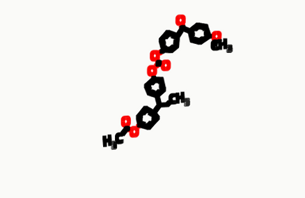 CCC(c1ccc(OC(C)=O)cc1)c1ccc(OC(=O)Oc2ccc(C(=O)c3ccc(OC)cc3)cc2)cc1